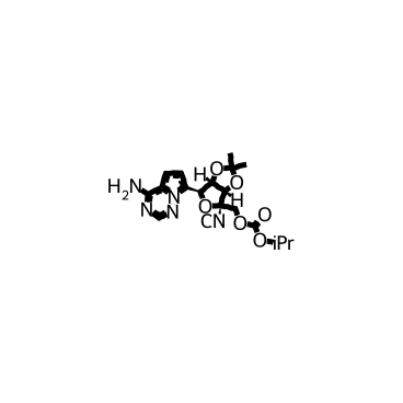 CC(C)OC(=O)OC[C@@]1(C#N)O[C@@H](c2ccc3c(N)ncnn23)[C@@H]2OC(C)(C)O[C@@H]21